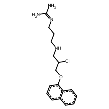 NC(N)=NCCCNCC(O)COc1cccc2ccccc12